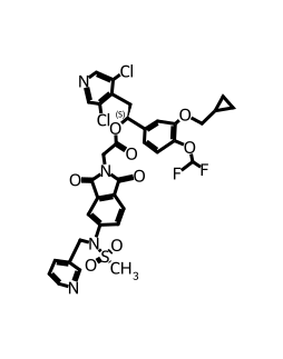 CS(=O)(=O)N(Cc1cccnc1)c1ccc2c(c1)C(=O)N(CC(=O)O[C@@H](Cc1c(Cl)cncc1Cl)c1ccc(OC(F)F)c(OCC3CC3)c1)C2=O